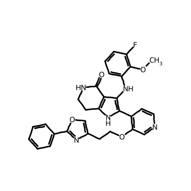 COc1c(F)cccc1Nc1c(-c2ccncc2OCCc2coc(-c3ccccc3)n2)[nH]c2c1C(=O)NCC2